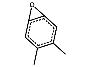 Cc1cc2c(cc1C)O2